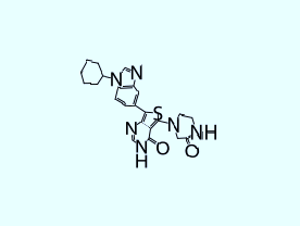 O=C1CN(c2sc(-c3ccc4c(c3)ncn4C3CCCCC3)c3nc[nH]c(=O)c23)CCN1